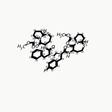 COC(=O)[C@@H]1CCC[C@@H]2SCCC(NC(=O)[C@H](CC[C@H](Cc3ccccc3)C(=O)N[C@H]3CCS[C@H]4CCC[C@@H](C(=O)OC)N4C3=O)Cc3ccc(F)cc3)C(=O)N21